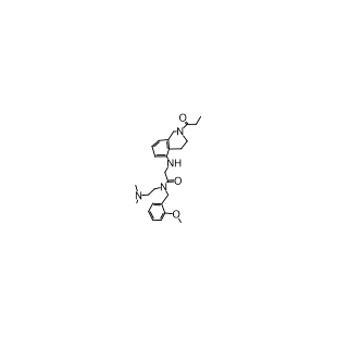 CCC(=O)N1CCc2c(cccc2NCC(=O)N(CCN(C)C)Cc2ccccc2OC)C1